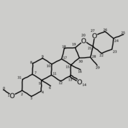 COC1CCC2(C)C(CCC3C2CC(=O)C2(C)C3CC3OC4(CCC(C)CO4)C(C)C32)C1